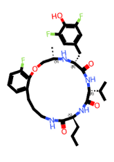 CCC[C@@H]1NC(=O)[C@@H](C(C)C)NC(=O)[C@@H](Cc2cc(F)c(O)c(F)c2)N[C@@H](C)COc2c(F)cccc2CCCNC1=O